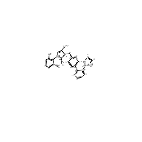 CCCc1cn(-c2c(Cl)cccc2Br)c(=O)n1Cc1ccc(-c2ncccc2-c2nnn[nH]2)cc1